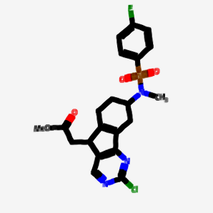 COC(=O)CC1C2=C(CC(N(C)S(=O)(=O)c3ccc(F)cc3)CC2)c2nc(Cl)ncc21